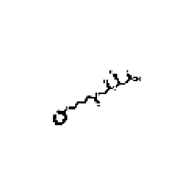 C#CC(CC(=O)O)NC(=O)CNC(=O)CCCCNc1ccccn1